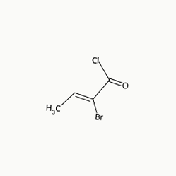 CC=C(Br)C(=O)Cl